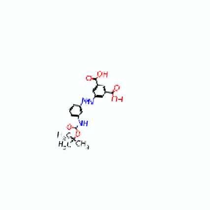 CC(C)(C)OC(=O)Nc1cccc(N=Nc2cc(C(=O)O)cc(C(=O)O)c2)c1